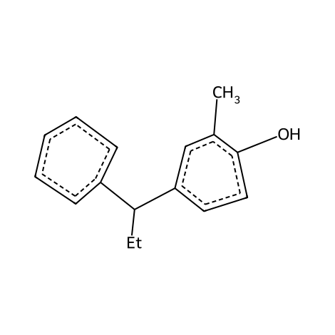 CCC(c1ccccc1)c1ccc(O)c(C)c1